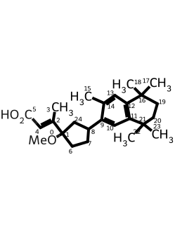 COC1(C(C)=CC(=O)O)CCC(c2cc3c(cc2C)C(C)(C)CCC3(C)C)C1